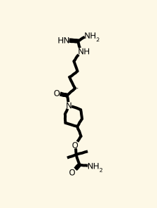 CC(C)(OCC1CCN(C(=O)[CH]CCCNC(=N)N)CC1)C(N)=O